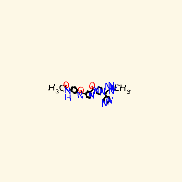 CC(=O)Nc1ccc2oc(-c3ccnc(C(=O)N4CCN(C(c5cncnc5)c5nnn(C)n5)CC4)c3)nc2c1